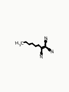 CCCCCCC(C#N)=C(C#N)C#N